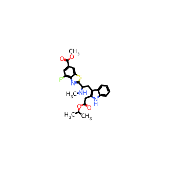 CNC(Cc1c(CC(=O)OC(C)C)[nH]c2ccccc12)c1nc2c(F)cc(C(=O)OC)cc2s1